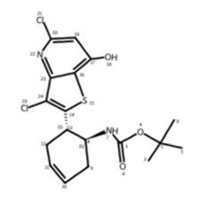 CC(C)(C)OC(=O)N[C@H]1CC=CC[C@@H]1c1sc2c(O)cc(Cl)nc2c1Cl